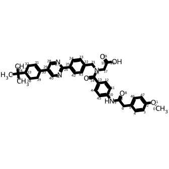 COc1ccc(CC(=O)Nc2ccc(C(=O)N(CC(=O)O)Cc3ccc(-c4ncc(C5=CCC(C(C)(C)C)CC5)cn4)cc3)cc2)cc1